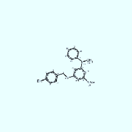 CCc1ccc(CSc2nc(SC)nc(N(C)c3ccccc3)n2)cc1